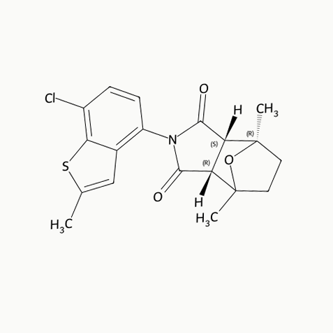 Cc1cc2c(N3C(=O)[C@@H]4[C@H](C3=O)[C@@]3(C)CCC4(C)O3)ccc(Cl)c2s1